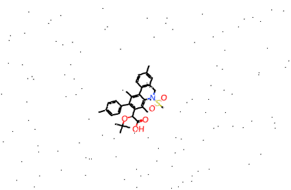 Cc1ccc(-c2c(C)c3c(c(C)c2[C@H](OC(C)(C)C)C(=O)O)N(S(C)(=O)=O)Cc2cc(C)ccc2-3)cc1